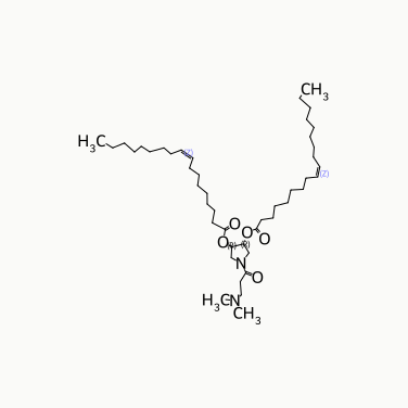 CCCCCCCC/C=C\CCCCCCCC(=O)O[C@@H]1CN(C(=O)CCN(C)C)C[C@H]1OC(=O)CCCCCCC/C=C\CCCCCCCC